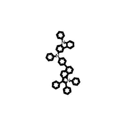 C1=CC2c3cc(N(c4ccccc4)c4ccc(-c5cccc6c5ccc5c(-c7ccccc7)c(-c7ccccc7)n(-c7ccccc7)c56)cc4)ccc3N(c3ccccc3)C2C=C1